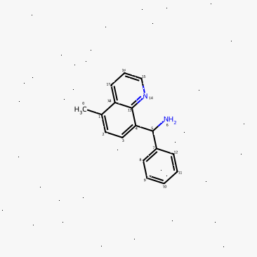 Cc1ccc(C(N)c2ccccc2)c2ncccc12